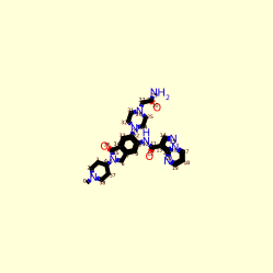 CN1CCC(N2Cc3cc(NC(=O)c4cnn5cccnc45)c(N4CCN(CC(N)=O)CC4)cc3C2=O)CC1